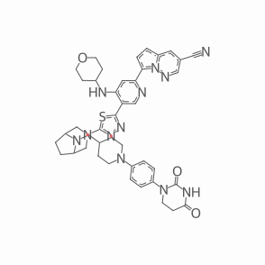 N#Cc1cnn2c(-c3cc(NC4CCOCC4)c(-c4nnc(N5CC6CCC(C5)N6CC5CCN(c6ccc(N7CCC(=O)NC7=O)cc6)CC5)s4)cn3)ccc2c1